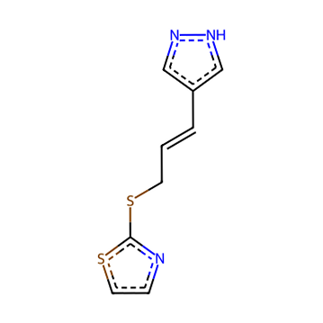 C(=Cc1cn[nH]c1)CSc1nccs1